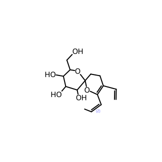 C=CC1=C(/C=C\C)OC2(CC1)OC(CO)C(O)C(O)C2O